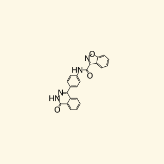 O=C(Nc1ccc(-c2n[nH]c(=O)c3ccccc23)cc1)c1noc2ccccc12